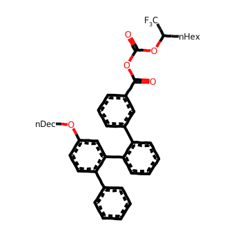 CCCCCCCCCCOc1ccc(-c2ccccc2)c(-c2ccccc2-c2cccc(C(=O)OC(=O)OC(CCCCCC)C(F)(F)F)c2)c1